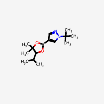 CC(C)C1OB(c2cnn(C(C)(C)C)c2)OC1(C)C